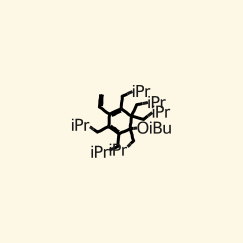 C=CC1=C(CC(C)C)C(CC(C)C)(CC(C)C)C(CC(C)C)(OCC(C)C)C(CC(C)C)=C1CC(C)C